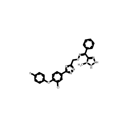 CN1NNN=C1/C(=N\OCc1nnc(-c2ccc(Oc3ccc(F)cc3)c(Cl)c2)o1)c1ccccc1